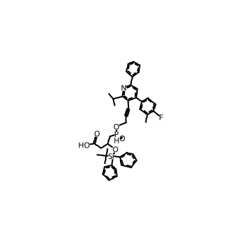 Cc1cc(-c2cc(-c3ccccc3)nc(C(C)C)c2C#CCO[PH](=O)CC(CC(=O)O)O[Si](c2ccccc2)(c2ccccc2)C(C)(C)C)ccc1F